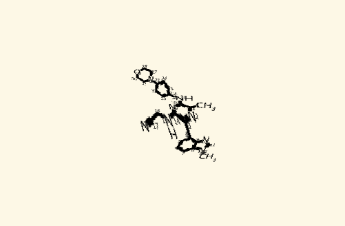 Cc1nc(-c2cccc3c2ncn3C)c(NCC#N)nc1Nc1ccc(N2CCOCC2)cc1